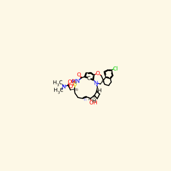 CN(C)C(=O)C[C@@H]1CC/C=C/[C@H](O)[C@@H]2CC[C@H]2CN2C[C@@]3(CCCc4cc(Cl)ccc43)COc3ccc(cc32)C(=O)NS1(=O)=O